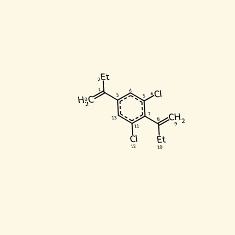 C=C(CC)c1cc(Cl)c(C(=C)CC)c(Cl)c1